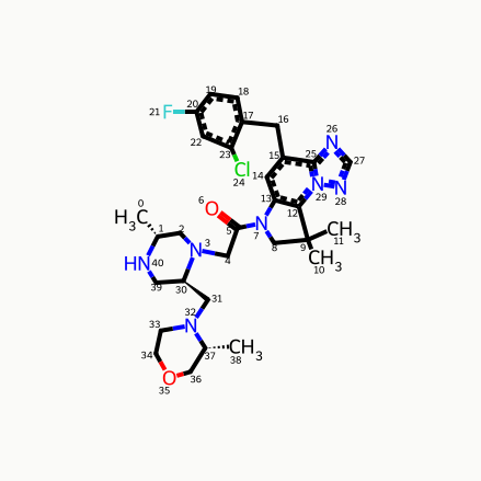 C[C@@H]1CN(CC(=O)N2CC(C)(C)c3c2cc(Cc2ccc(F)cc2Cl)c2ncnn32)[C@@H](CN2CCOC[C@H]2C)CN1